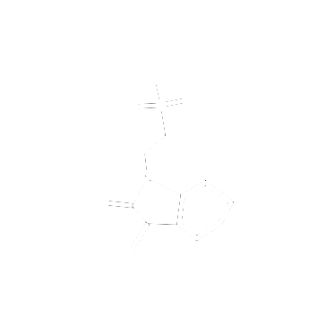 CS(=O)(=O)CCN1C(=O)C(=O)c2ccccc21